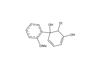 CCC1C(O)=CC=CC1(O)c1ccccc1OC